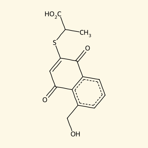 CC(SC1=CC(=O)c2c(CO)cccc2C1=O)C(=O)O